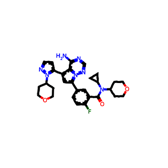 Nc1ncnn2c(-c3ccc(F)c(C(=O)N(C4CCOCC4)C4CC4)c3)cc(-c3ccnn3C3CCOCC3)c12